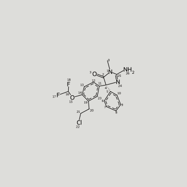 CN1C(=O)[C@](c2ccccc2)(c2ccc(OC(F)F)c(CCCl)c2)N=C1N